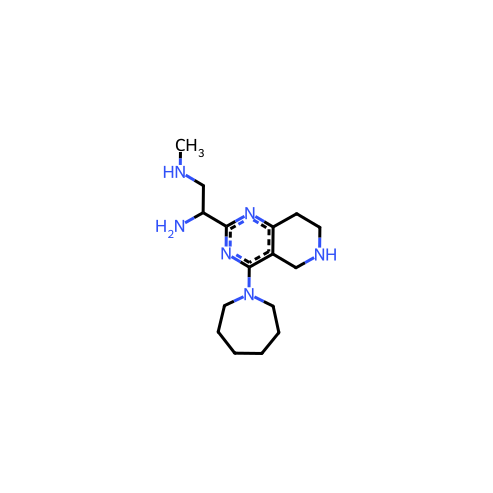 CNCC(N)c1nc2c(c(N3CCCCCC3)n1)CNCC2